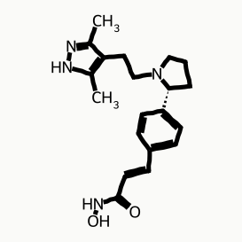 Cc1n[nH]c(C)c1CCN1CCC[C@@H]1c1ccc(/C=C/C(=O)NO)cc1